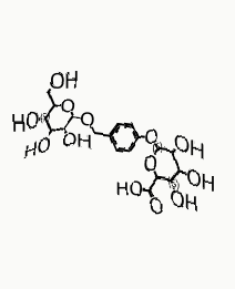 O=C(O)C1O[C@@H](Oc2ccc(COC3OC(CO)[C@@H](O)C(O)C3O)cc2)C(O)C(O)[C@@H]1O